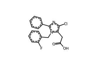 O=C(O)Cc1c(Cl)nc(-c2ccccc2)n1Cc1ccccc1F